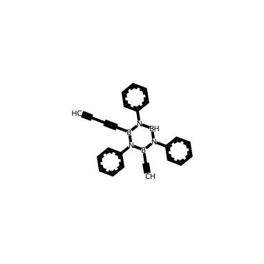 C#CC#CB1N(c2ccccc2)BN(c2ccccc2)B(C#C)N1c1ccccc1